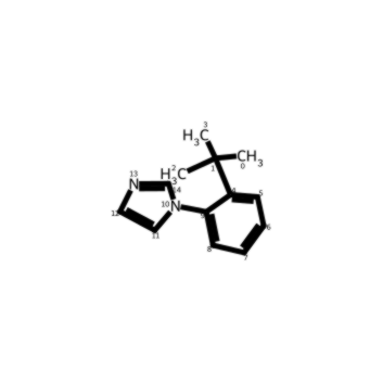 CC(C)(C)c1ccccc1-n1ccnc1